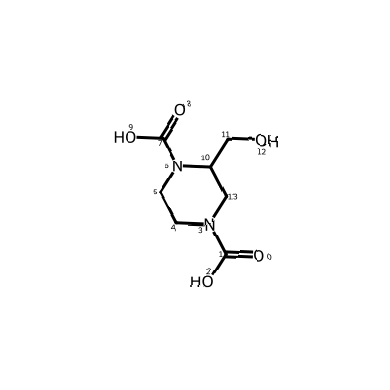 O=C(O)N1CCN(C(=O)O)C(CO)C1